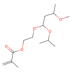 C=C(C)C(=O)OCCOC(CC(C)OC)OC(C)C